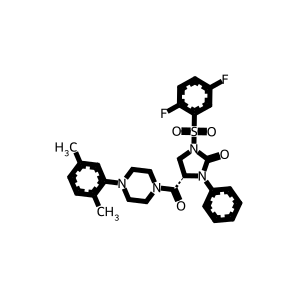 Cc1ccc(C)c(N2CCN(C(=O)[C@@H]3CN(S(=O)(=O)c4cc(F)ccc4F)C(=O)N3c3ccccc3)CC2)c1